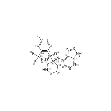 Cc1ccc(S(=O)(=O)[C@]2(Nc3ccnc4[nH]ccc34)CCCNC2)c(C(F)(F)F)c1